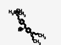 CCCCN(CCCC)c1ccc(/C=C/c2cc[n+](CCC[N+](C)(C)C)cc2)cc1.[Br-].[Br-]